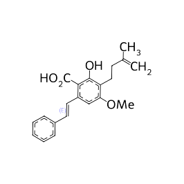 C=C(C)CCc1c(OC)cc(/C=C/c2ccccc2)c(C(=O)O)c1O